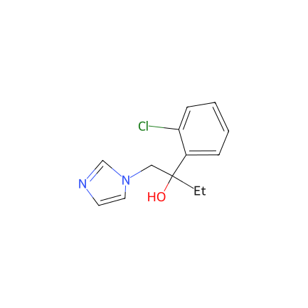 CCC(O)(Cn1ccnc1)c1ccccc1Cl